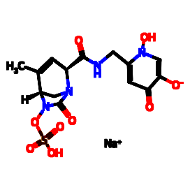 CC1=C[C@@H](C(=O)NCc2cc(=O)c([O-])cn2O)N2C[C@@H]1N(OS(=O)(=O)O)C2=O.[Na+]